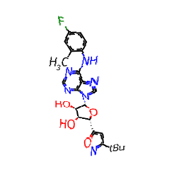 Cc1cc(F)ccc1Nc1ncnc2c1ncn2[C@@H]1O[C@H](c2cc(C(C)(C)C)no2)[C@@H](O)[C@H]1O